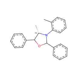 Cc1ccccc1N1C(c2ccccc2)OC(c2ccccc2)[C@@H]1C